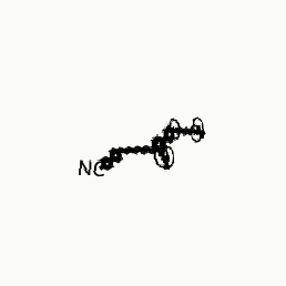 C=C(C)C(=O)OCCCCCCOc1ccc(-c2ccc(CCCCCCCCc3ccc(-c4ccc(C#N)cc4)cc3)c(OC(=O)C(=C)C)c2)cc1